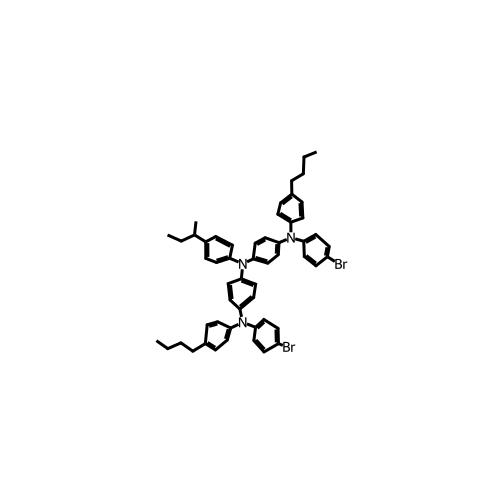 CCCCc1ccc(N(c2ccc(Br)cc2)c2ccc(N(c3ccc(C(C)CC)cc3)c3ccc(N(c4ccc(Br)cc4)c4ccc(CCCC)cc4)cc3)cc2)cc1